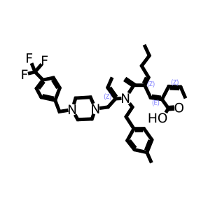 C=C(C(=C\CCC)/C=C(\C=C/C)C(=O)O)N(CCc1ccc(C)cc1)/C(=C\C)CN1CCN(Cc2ccc(C(F)(F)F)cc2)CC1